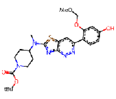 COCOc1cc(O)ccc1-c1cc2sc(N(C)C3CCN(C(=O)OC(C)(C)C)CC3)nc2nn1